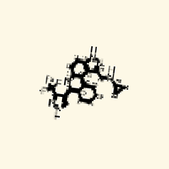 FC(F)(F)c1n[nH]cc1-c1nc2ccc3[nH]nc(CNC4CC4)c3c2c2c1CCCC2